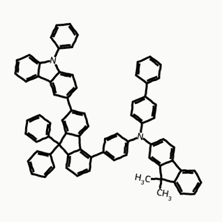 CC1(C)c2ccccc2-c2ccc(N(c3ccc(-c4ccccc4)cc3)c3ccc(-c4cccc5c4-c4ccc(-c6ccc7c(c6)c6ccccc6n7-c6ccccc6)cc4C5(c4ccccc4)c4ccccc4)cc3)cc21